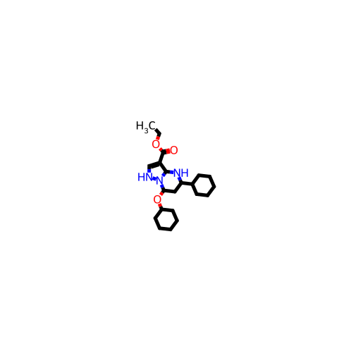 CCOC(=O)C1=CNN2C(OC3CCCCC3)CC(C3CCCCC3)NC12